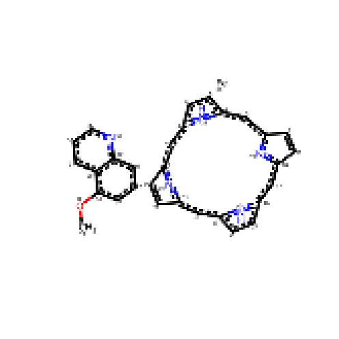 C1=Cc2cc3ccc(cc4nc(cc5ccc(cc1n2)[nH]5)C=C4)[nH]3.COc1cccc2ncccc12.[Fe]